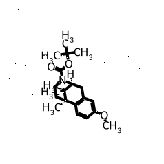 COc1ccc2c(c1)C[C@@H]1N(C(=O)OC(C)(C)C)CC[C@@]2(C)C1(C)C